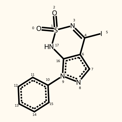 O=S1(=O)N=C(I)c2cnn(-c3ccccc3)c2N1